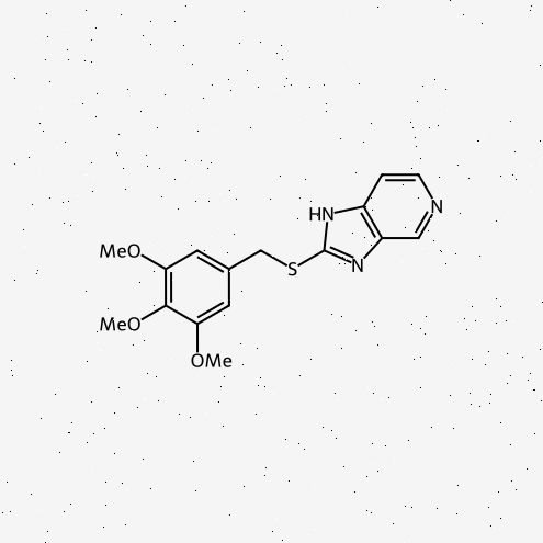 COc1cc(CSc2nc3cnccc3[nH]2)cc(OC)c1OC